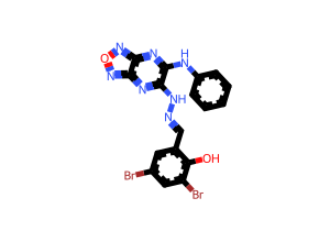 Oc1c(Br)cc(Br)cc1C=NNc1nc2nonc2nc1Nc1ccccc1